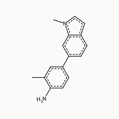 Cc1cc(-c2ccc3ccn(C)c3c2)ccc1N